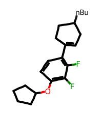 CCCCC1CC=C(c2ccc(OC3CCCC3)c(F)c2F)CC1